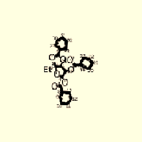 CC[C@@]1(C)OC(OC(=O)c2ccccc2)[C@H](OC(=O)c2ccccc2)[C@@H]1OC(=O)c1ccccc1